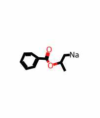 CC([CH2][Na])OC(=O)c1ccccc1